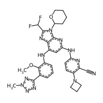 COc1c(Nc2cc(Nc3ccc(N4CCC4)c(C#N)n3)nc3c2nc(C(F)F)n3C2CCCCO2)cccc1-c1nnn(C)n1